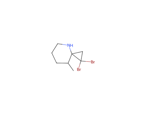 CC1CCCNC12CC2(Br)Br